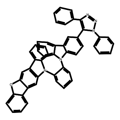 c1ccc(-c2nnn(-c3ccccc3)c2-c2ccc3c(c2)c2ccccc2n3-c2ccccc2-n2c3ccccc3c3cc4oc5ccccc5c4cc32)cc1